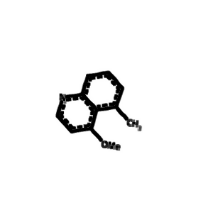 COc1ccnc2cccc(C)c12